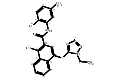 CCn1nnnc1Sc1cc(C(=O)Nc2cc(C)ccc2C)c(O)c2ccccc12